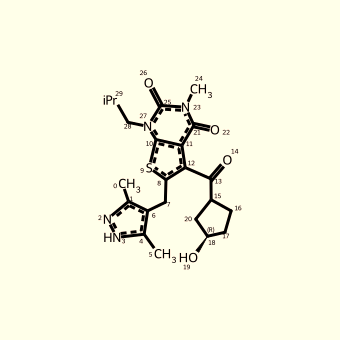 Cc1n[nH]c(C)c1Cc1sc2c(c1C(=O)C1CC[C@@H](O)C1)c(=O)n(C)c(=O)n2CC(C)C